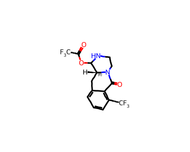 O=C1c2c(cccc2C(F)(F)F)C[C@@H]2C(OC(=O)C(F)(F)F)NCCN12